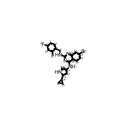 Fc1ccc(CNc2nc(Nc3cc(C4CC4)[nH]n3)c3ccc(Br)cc3n2)c(F)c1